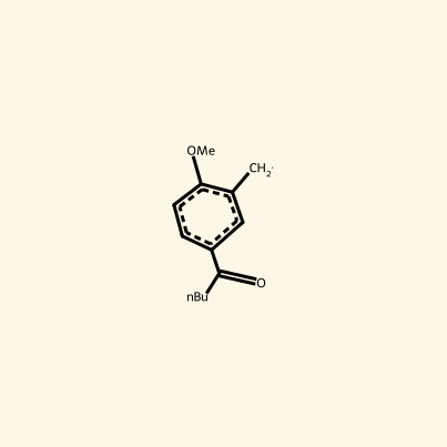 [CH2]c1cc(C(=O)CCCC)ccc1OC